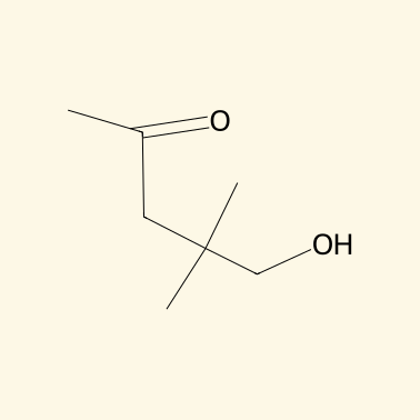 CC(=O)CC(C)(C)CO